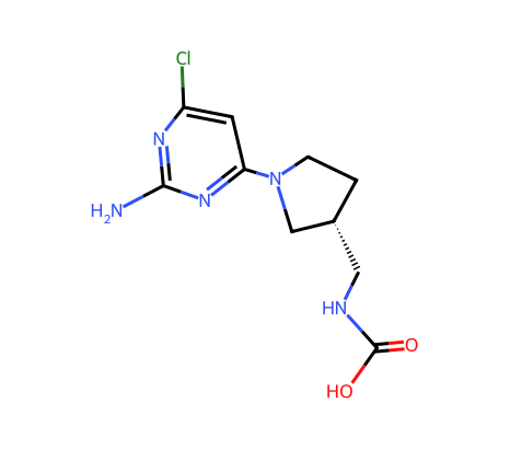 Nc1nc(Cl)cc(N2CC[C@H](CNC(=O)O)C2)n1